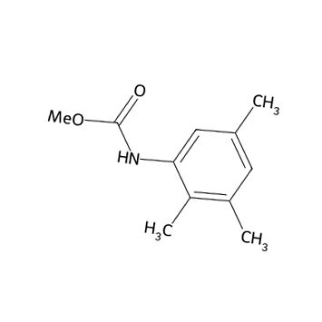 COC(=O)Nc1cc(C)cc(C)c1C